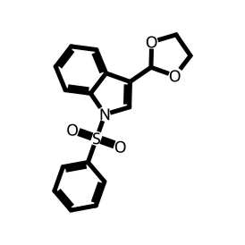 O=S(=O)(c1ccccc1)n1cc(C2OCCO2)c2ccccc21